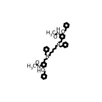 CC(=O)Nc1cc(CCN(CCCCCCN(CCc2ccc(OCc3ccccc3)c(NC(C)=O)c2)Cc2ccccc2)Cc2ccccc2)ccc1OCc1ccccc1